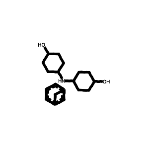 OC1CCC(NC2CCC(O)CC2)CC1.c1cc2cc(c1)C2